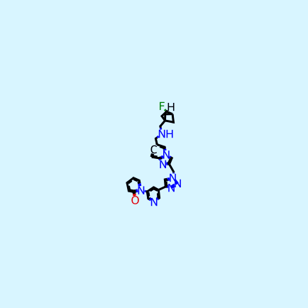 O=c1ccccn1-c1cncc(-c2cn(Cc3cn4cc(CNCC56CC(C5)[C@H](F)C6)ccc4n3)nn2)c1